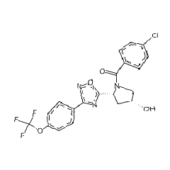 O=C(c1ccc(Cl)cc1)N1C[C@H](O)C[C@@H]1c1nc(-c2ccc(OC(F)(F)F)cc2)no1